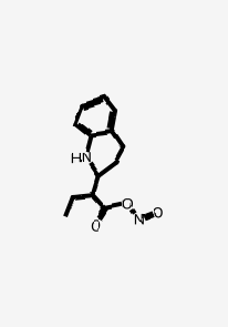 CCC(C(=O)ON=O)C1CCc2ccccc2N1